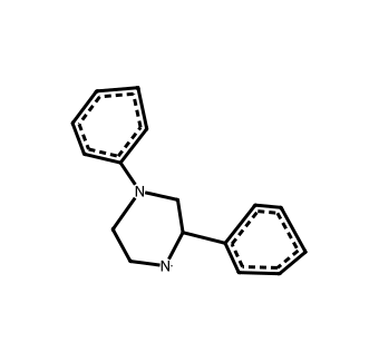 c1ccc(C2CN(c3ccccc3)CC[N]2)cc1